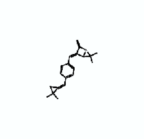 C=C1/C(=C/c2ccc(/C=C3\CC3(C)C)cc2)C2N1C2(C)C